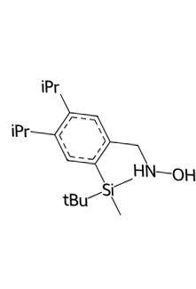 CC(C)c1cc(CNO)c([Si](C)(C)C(C)(C)C)cc1C(C)C